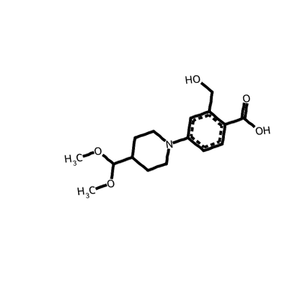 COC(OC)C1CCN(c2ccc(C(=O)O)c(CO)c2)CC1